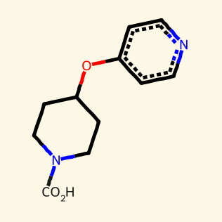 O=C(O)N1CCC(Oc2ccncc2)CC1